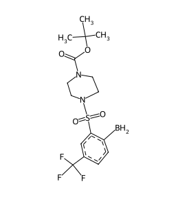 Bc1ccc(C(F)(F)F)cc1S(=O)(=O)N1CCN(C(=O)OC(C)(C)C)CC1